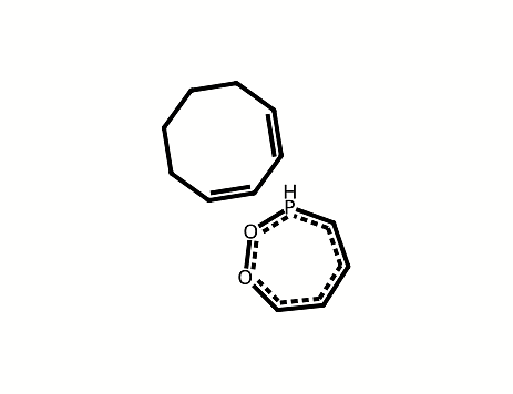 C1=CCCCCC=C1.c1cc[pH]ooc1